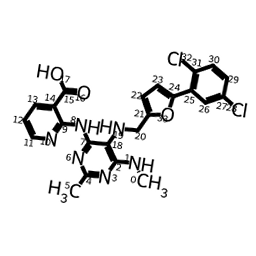 CNc1nc(C)nc(Nc2ncccc2C(=O)O)c1NCc1ccc(-c2cc(Cl)ccc2Cl)o1